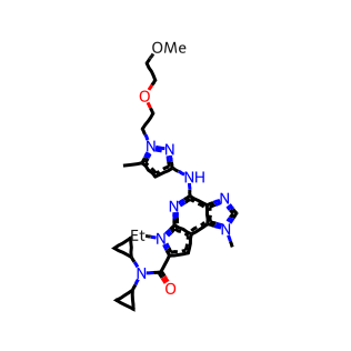 CCn1c(C(=O)N(C2CC2)C2CC2)cc2c3c(ncn3C)c(Nc3cc(C)n(CCOCCOC)n3)nc21